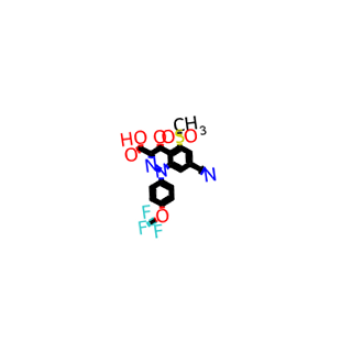 CS(=O)(=O)c1cc(C#N)cc2c1c(=O)c(C(=O)O)nn2-c1ccc(OC(F)(F)F)cc1